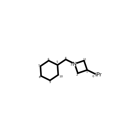 CC(C)C1CN(CC2CCCCC2)C1